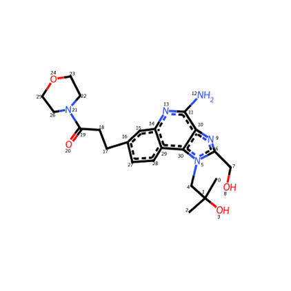 CC(C)(O)Cn1c(CO)nc2c(N)nc3cc(CCC(=O)N4CCOCC4)ccc3c21